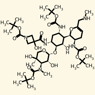 CNCC1=CC[C@@H](NC(=O)OC(C)(C)C)[C@@H](C2[C@@H](NC(=O)OC(C)(C)C)C[C@@H](NC(=O)C3(O)CN(C(=O)OC(C)(C)C)C3)[C@H](O[C@H]3OC[C@](C)(O)[C@H](N(C)C(=O)OC(C)(C)C)[C@H]3O)[C@H]2O)O1